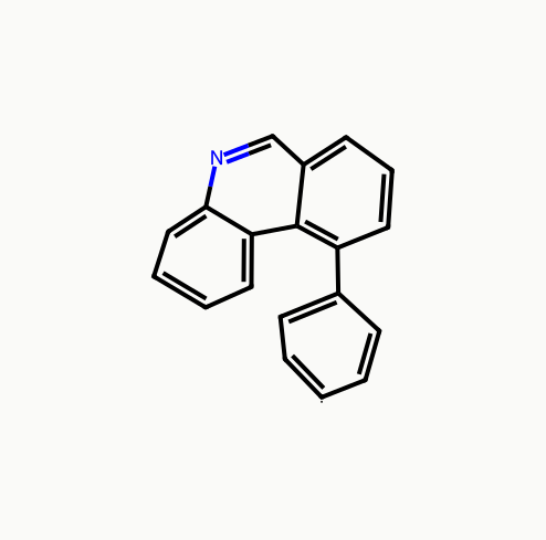 [c]1ccc(-c2cccc3cnc4ccccc4c23)cc1